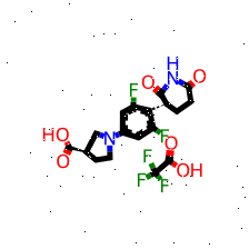 O=C(O)C(F)(F)F.O=C1CC[C@H](c2c(F)cc(N3CC[C@@H](C(=O)O)C3)cc2F)C(=O)N1